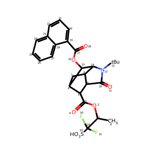 CC(OC(=O)C1C2CC3C1C(=O)N(C(C)(C)C)C3C2OC(=O)c1cccc2ccccc12)C(F)(F)S(=O)(=O)O